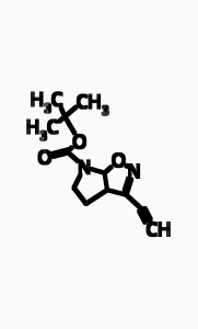 C#CC1=NOC2C1CCN2C(=O)OC(C)(C)C